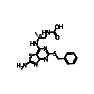 C[C@H](CNC(=O)O)Nc1nc(SCc2ccccc2)nc2nc(N)sc12